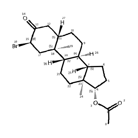 CC(=O)O[C@H]1CC[C@H]2[C@@H]3CC[C@H]4CC(=O)[C@H](Br)C[C@]4(C)[C@H]3CC[C@]12C